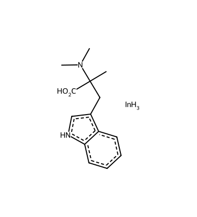 CN(C)C(C)(Cc1c[nH]c2ccccc12)C(=O)O.[InH3]